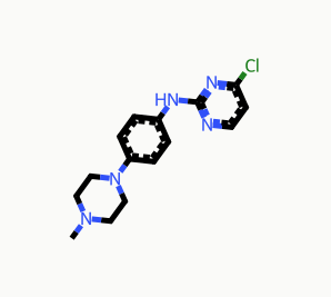 CN1CCN(c2ccc(Nc3nccc(Cl)n3)cc2)CC1